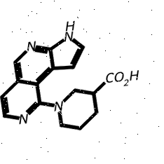 O=C(O)C1CCCN(c2nccc3cnc4[nH]ccc4c23)C1